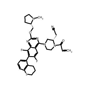 C=CC(=O)N1CCN(c2nc(OC[C@@H]3CCCN3C)nc3c(F)c(-c4cccc5c4CCCS5)c(F)cc23)C[C@@H]1CC#N